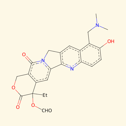 CCC1(OC=O)C(=O)OCc2c1cc1n(c2=O)Cc2cc3c(CN(C)C)c(O)ccc3nc2-1